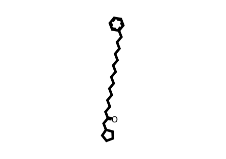 O=C(CCCCCCCCCCCCCCc1ccccc1)CC1CCCC1